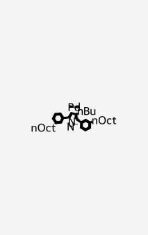 CCCCCCCCc1cccc(C2=CC(CCCC)=C(c3cccc(CCCCCCCC)c3)[N+]2=[N-])c1.[CH3][Pd][CH3]